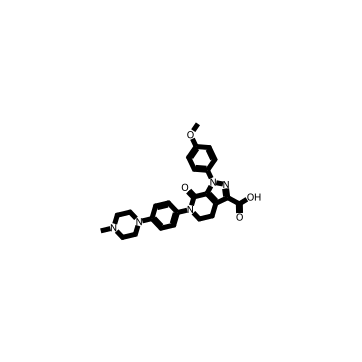 COc1ccc(-n2nc(C(=O)O)c3c2C(=O)N(c2ccc(N4CCN(C)CC4)cc2)CC3)cc1